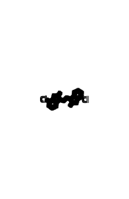 CC1=Cc2c(Cl)cccc2C1CCC1C(C)=Cc2c(Cl)cccc21